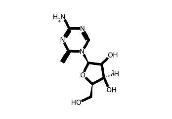 [2H][C@@]1(O)C(O)[C@H](N2C=NC(N)=NC2=C)O[C@@H]1CO